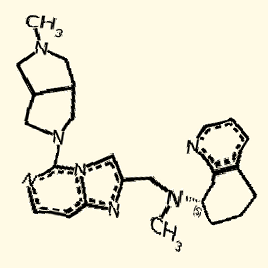 CN1CC2CN(c3nccc4nc(CN(C)[C@H]5CCCc6cccnc65)cn34)CC2C1